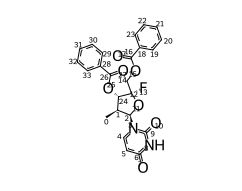 C[C@@H]1[C@H](n2ccc(=O)[nH]c2=O)O[C@](F)(COC(=O)c2ccccc2)[C@H]1OC(=O)c1ccccc1